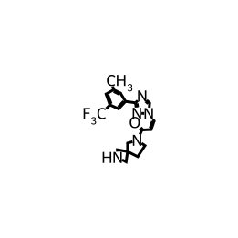 Cc1cc(-c2ncn(/C=C\C(=O)N3CCC4(CNC4)C3)n2)cc(C(F)(F)F)c1